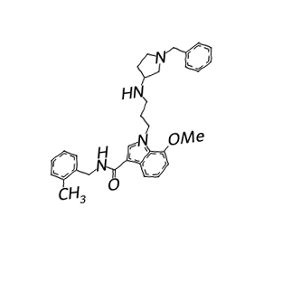 COc1cccc2c(C(=O)NCc3ccccc3C)cn(CCCNC3CCN(Cc4ccccc4)C3)c12